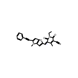 CCN1C(=O)C(C#N)=C(C)/C(=C/c2cc3c(cc(C#Cc4ccccc4)n3C)o2)C1=O